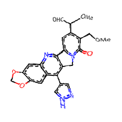 COCc1c(C(C=O)OC)cc2n(c1=O)Cc1c-2nc2cc3c(cc2c1-c1cn[nH]c1)OCO3